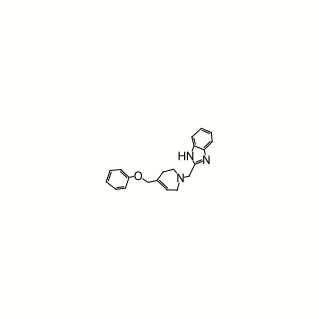 C1=C(COc2ccccc2)CCN(Cc2nc3ccccc3[nH]2)C1